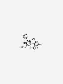 CCOC(=O)C1=C(CBr)NC(c2nccs2)=N[C@@H]1c1ccc(F)cc1Cl